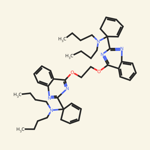 CCCCN(CCCC)C1(c2nc(OCCOc3nc(C4(N(CCCC)CCCC)C=CC=CC4)nc4ccccc34)c3ccccc3n2)C=CC=CC1